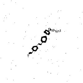 CCCCCOc1ccc([C@H]2CC[C@H](CC[C@H]3CC[C@H](C=CF)CC3)CC2)cc1